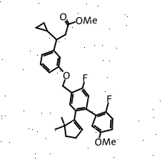 COC(=O)CC(c1cccc(OCc2cc(C3=CCCC3(C)C)c(-c3cc(OC)ccc3F)cc2F)c1)C1CC1